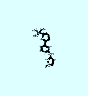 CCC[CH2][Sn]([CH2]CCC)([CH2]CCC)[c]1cccc(-c2ccnc(Nc3ccn(C)n3)n2)n1